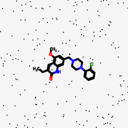 CCc1cc2c(OC)cc(CN3CCN(c4ccccc4Cl)CC3)cc2[nH]c1=O